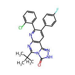 CC(C)(C)c1nc2nc(-c3ccccc3Cl)c(-c3ccc(F)cc3)cc2c2n[nH]c(=O)n12